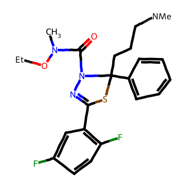 CCON(C)C(=O)N1N=C(c2cc(F)ccc2F)SC1(CCCNC)c1ccccc1